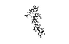 COc1cc(-c2cn(C)c(=O)c3cnc(N4CC(OC)C4)cc23)cc(OC)c1CN1C(=O)C(F)(F)c2cc(-c3cccc4c3C(C)C(=O)N4C3CCC(=O)NC3=O)ccc21